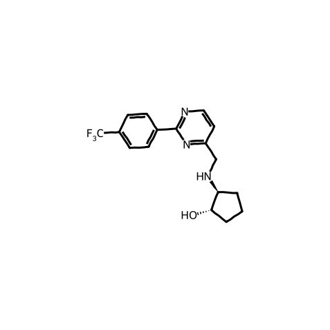 O[C@H]1CCC[C@@H]1NCc1ccnc(-c2ccc(C(F)(F)F)cc2)n1